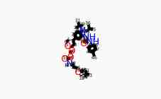 CC[C@@H](CC(=O)OCOC(=O)N(C)CCCO[Si](C)(C)C(C)(C)C)c1ccc(N(CC(C)C)CC(C)C)c(NC(=O)Nc2ccc(C)cc2)c1